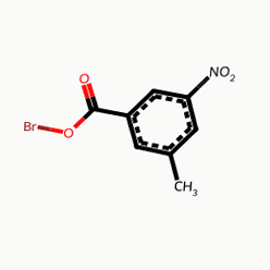 Cc1cc(C(=O)OBr)cc([N+](=O)[O-])c1